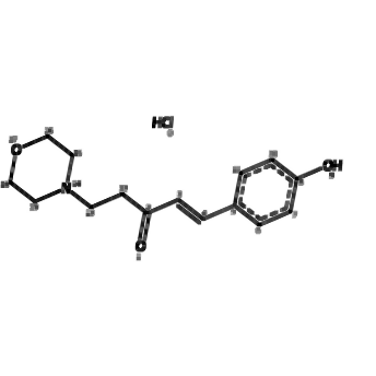 Cl.O=C(C=Cc1ccc(O)cc1)CCN1CCOCC1